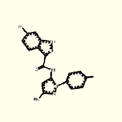 Cc1ccc(-n2nc(C(C)(C)C)cc2NC(=O)c2n[nH]c3cc(Br)ccc23)cc1